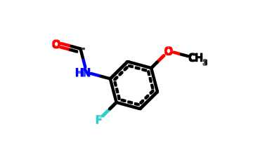 COc1ccc(F)c(N[C]=O)c1